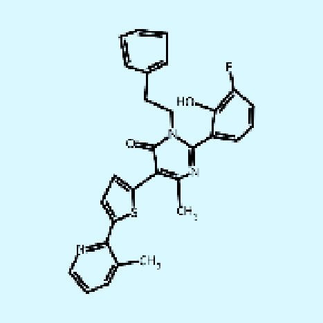 Cc1cccnc1-c1ccc(-c2c(C)nc(-c3cccc(F)c3O)n(CCc3ccccc3)c2=O)s1